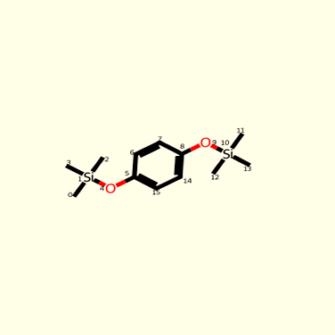 C[Si](C)(C)Oc1ccc(O[Si](C)(C)C)cc1